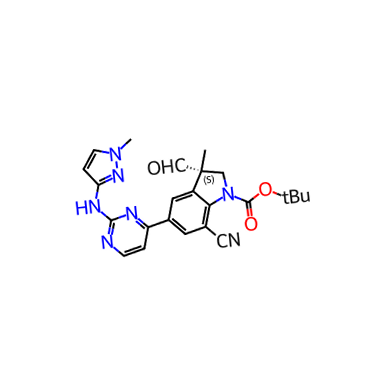 Cn1ccc(Nc2nccc(-c3cc(C#N)c4c(c3)[C@](C)(C=O)CN4C(=O)OC(C)(C)C)n2)n1